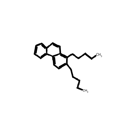 CCCCCc1ccc2c(ccc3ccccc32)c1CCCCC